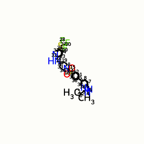 CC(C)c1nnc2ccc(-c3ccc(S(=O)(=O)N4CCC(Nc5ccc(SC(F)(F)F)cn5)CC4)cc3)cn12